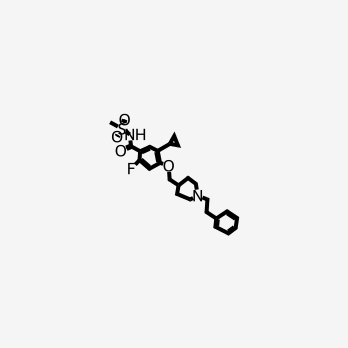 CS(=O)(=O)NC(=O)c1cc(C2CC2)c(OCC2CCN(CCc3ccccc3)CC2)cc1F